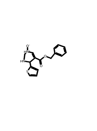 O=C(OCc1ccccc1)C1=C[NH+]([O-])CNC1c1cccs1